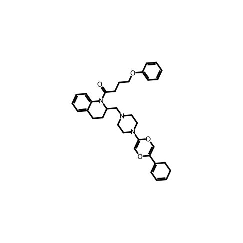 O=C(CCCOc1ccccc1)N1c2ccccc2CCC1CN1CCN(C2=COC(C3=CC=CCC3)=CO2)CC1